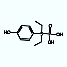 CCS(CC)(c1ccc(O)cc1)P(=O)(O)O